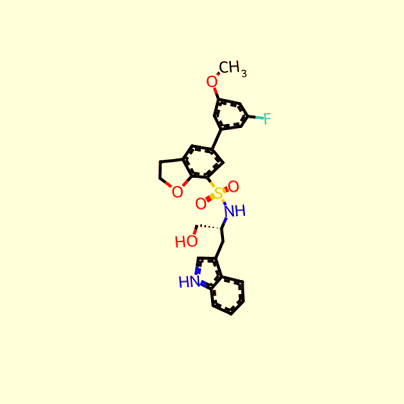 COc1cc(F)cc(-c2cc3c(c(S(=O)(=O)N[C@@H](CO)Cc4c[nH]c5ccccc45)c2)OCC3)c1